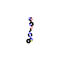 c1ccc2c(N3CCN(CCCOc4ccc(-c5cnco5)cn4)CC3)nsc2c1